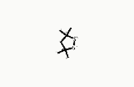 CC1(C)CC(C)(C)SS1